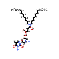 CCCCCCCCCCCCCCCCCCN(CCCCCCCCCCCCCCCCCC)C(=O)CCC(=O)OC[C@@H]1CNC[C@H](n2cc(C)c(=O)[nH]c2=O)O1